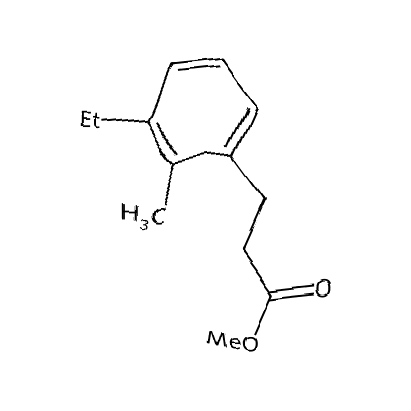 CCc1cccc(CCC(=O)OC)c1C